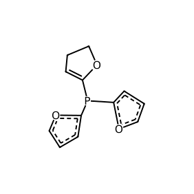 C1=C(P(c2ccco2)c2ccco2)OCC1